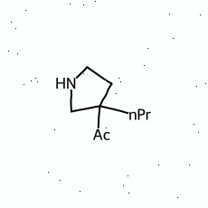 CCCC1(C(C)=O)CCNC1